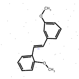 COc1cccc(/C=C/c2ccccc2OC)c1